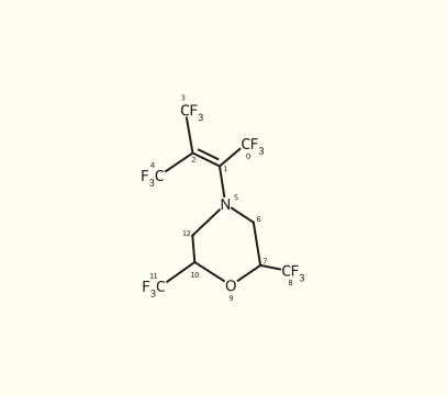 FC(F)(F)C(=C(C(F)(F)F)C(F)(F)F)N1CC(C(F)(F)F)OC(C(F)(F)F)C1